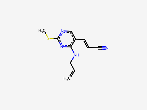 C=CCNc1nc(SC)ncc1/C=C/C#N